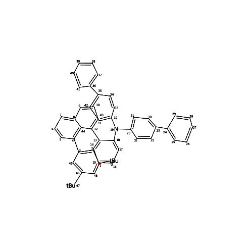 CC(C)(C)c1cc(-c2cccc3cccc(-c4ccccc4N(c4ccc(-c5ccccc5)cc4)c4ccc(-c5ccccc5)cc4)c23)cc(C(C)(C)C)c1